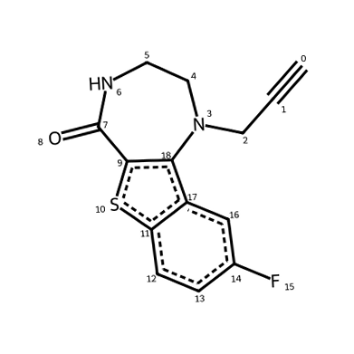 C#CCN1CCNC(=O)c2sc3ccc(F)cc3c21